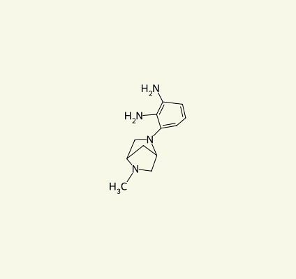 CN1CC2CC1CN2c1cccc(N)c1N